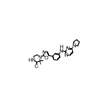 CC1(C)C(=O)NCCN1c1ncc(-c2cccc(Nc3nccc(N4CCCC4)n3)c2)o1